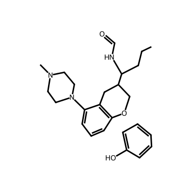 CCCC(NC=O)C1COc2cccc(N3CCN(C)CC3)c2C1.Oc1ccccc1